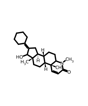 CN1C(=O)C=C[C@@]2(C)C1CC[C@@H]1[C@H]2CC[C@]2(C)C(O)C(=C3CCCCC3)C[C@@H]12